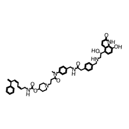 C=C(/C=C\C=C/CNC(=O)OC1CCN(CCC(=O)N(C)c2ccc(CNC(=O)Cc3ccc(CNC[C@H](O)c4ccc(O)c5[nH]c(=O)ccc45)cc3)cc2)CC1)c1ccccc1